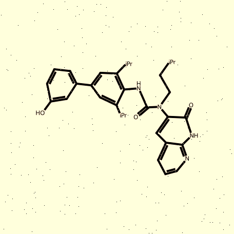 CC(C)CCN(C(=O)Nc1c(C(C)C)cc(-c2cccc(O)c2)cc1C(C)C)c1cc2cccnc2[nH]c1=O